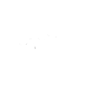 C[C@H](c1cc(C(F)(F)F)cc(C(F)(F)F)c1)N(C)C(=O)N1CC2C[C@@]2(CN)[C@@H]1c1ccccc1